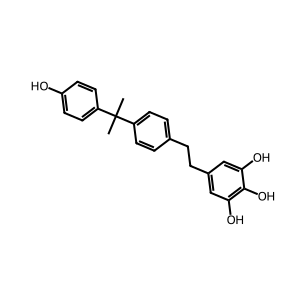 CC(C)(c1ccc(O)cc1)c1ccc(CCc2cc(O)c(O)c(O)c2)cc1